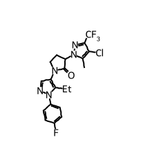 CCc1c(N2CCC(n3nc(C(F)(F)F)c(Cl)c3C)C2=O)cnn1-c1ccc(F)cc1